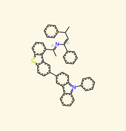 C/C(=N\C(=C/C(C)c1ccccc1)c1ccccc1)c1cccc2sc3ccc(-c4ccc5c(c4)c4ccccc4n5-c4ccccc4)cc3c12